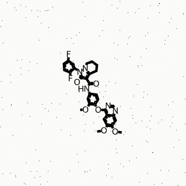 COc1cc2ncnc(Oc3ccc(NC(=O)c4c5n(n(-c6cc(F)ccc6F)c4=O)CCCC5)cc3OC)c2cc1OC